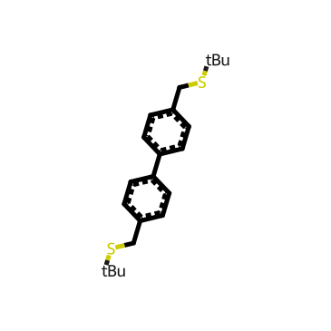 CC(C)(C)SCc1ccc(-c2ccc(CSC(C)(C)C)cc2)cc1